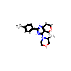 CC1COCCN1c1nc(-c2ccc([N+](=O)[O-])cc2)nc2c1COCC2